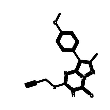 C#CCSc1nc2c(-c3ccc(OC)cc3)c(C)nn2c(=O)[nH]1